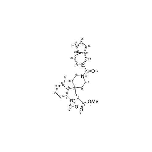 COC(=O)CN(C=O)c1cccc(C)c1C1(C)CCN(C(=O)c2ccc3[nH]ncc3c2)CC1